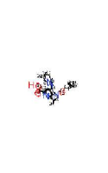 Cc1cn(COCC[Si](C)(C)C)c2c(CN3CCC[C@H](C)C3)cc(C(=O)O)nc12